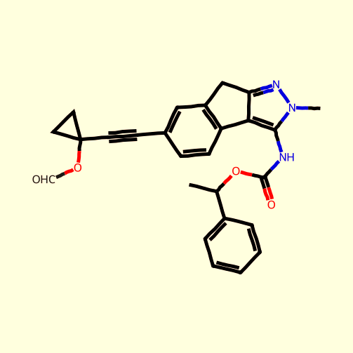 CC(OC(=O)Nc1c2c(nn1C)Cc1cc(C#CC3(OC=O)CC3)ccc1-2)c1ccccc1